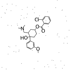 COc1cccc(C2(O)CCC(OC(=O)c3ccccc3Cl)CC2CN(C)C)c1